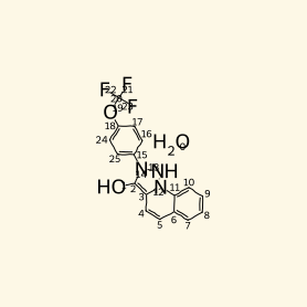 O.OC1=C2C=Cc3ccccc3N2NN1c1ccc(OC(F)(F)F)cc1